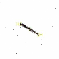 SCCCCCCCCCCCCCCCCCCSCCCCCCCCCCCCCCCCCCS